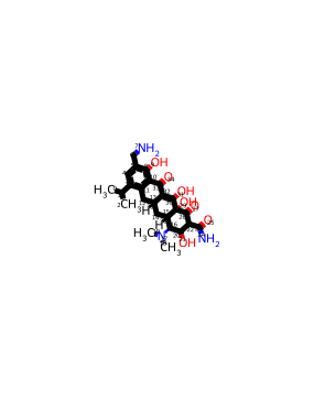 CC(C)c1cc(CN)c(O)c2c1C[C@H]1C[C@H]3[C@H](N(C)C)C(O)C(C(N)=O)C(=O)[C@@]3(O)C(O)=C1C2=O